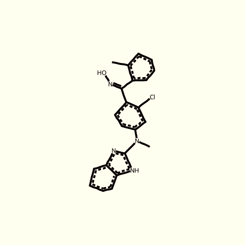 Cc1ccccc1C(=NO)c1ccc(N(C)c2nc3ccccc3[nH]2)cc1Cl